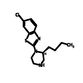 CCCC[C@H]1CNCCN1c1nc2ccc(Cl)cc2s1